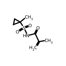 C=C(C)C(=O)NS(=O)(=O)C1(C)CC1